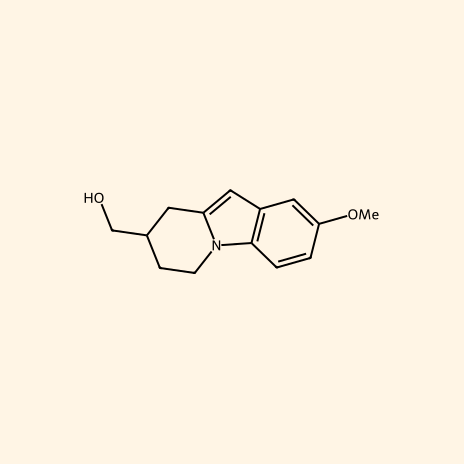 COc1ccc2c(c1)cc1n2CCC(CO)C1